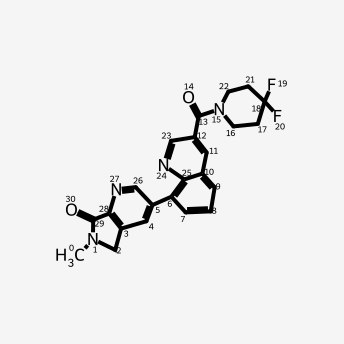 CN1Cc2cc(-c3cccc4cc(C(=O)N5CCC(F)(F)CC5)cnc34)cnc2C1=O